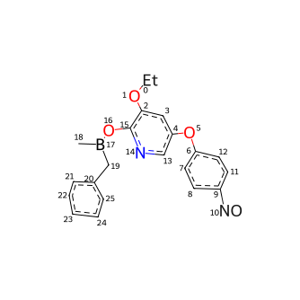 CCOc1cc(Oc2ccc(N=O)cc2)cnc1OB(C)Cc1ccccc1